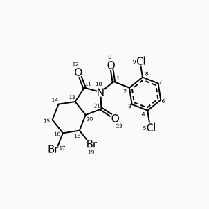 O=C(c1cc(Cl)ccc1Cl)N1C(=O)C2CCC(Br)C(Br)C2C1=O